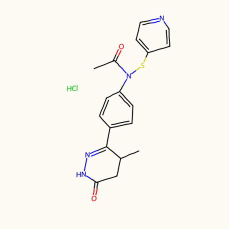 CC(=O)N(Sc1ccncc1)c1ccc(C2=NNC(=O)CC2C)cc1.Cl